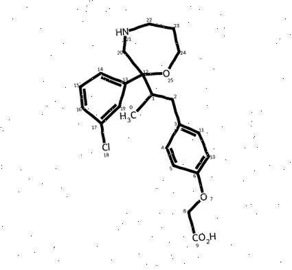 CC(Cc1ccc(OCC(=O)O)cc1)C1(c2cccc(Cl)c2)CNCCCO1